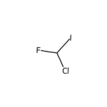 FC(Cl)I